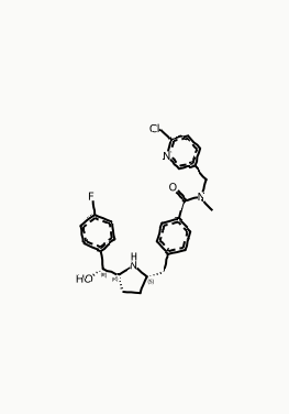 CN(Cc1ccc(Cl)nc1)C(=O)c1ccc(C[C@@H]2CC[C@H]([C@H](O)c3ccc(F)cc3)N2)cc1